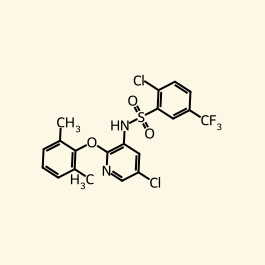 Cc1cccc(C)c1Oc1ncc(Cl)cc1NS(=O)(=O)c1cc(C(F)(F)F)ccc1Cl